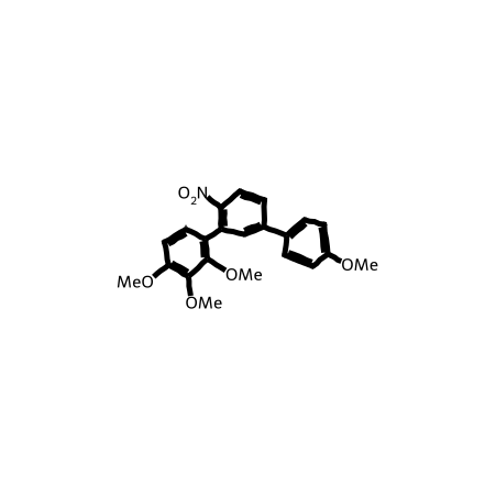 COc1ccc(-c2ccc([N+](=O)[O-])c(-c3[c]cc(OC)c(OC)c3OC)c2)cc1